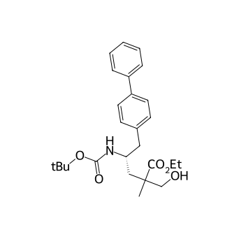 CCOC(=O)C(C)(CO)C[C@@H](Cc1ccc(-c2ccccc2)cc1)NC(=O)OC(C)(C)C